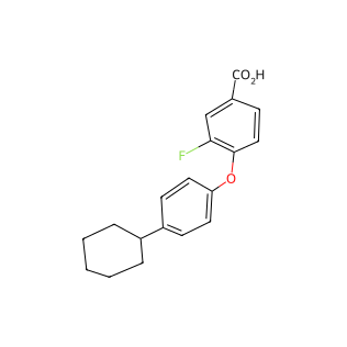 O=C(O)c1ccc(Oc2ccc(C3CCCCC3)cc2)c(F)c1